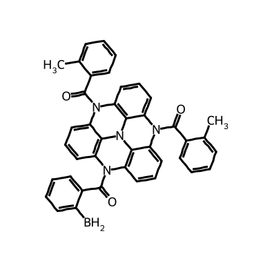 Bc1ccccc1C(=O)N1c2cccc3c2N2c4c1cccc4N(C(=O)c1ccccc1C)c1cccc(c12)N3C(=O)c1ccccc1C